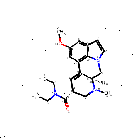 CCN(CC)C(=O)[C@@H]1C=C2c3cc(OC)cc4ccn(c34)C[C@H]2N(C)C1